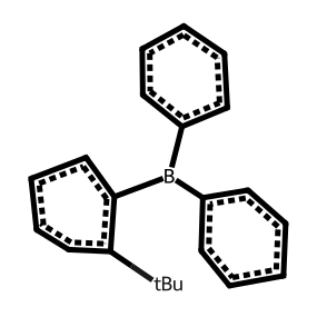 CC(C)(C)c1ccccc1B(c1ccccc1)c1ccccc1